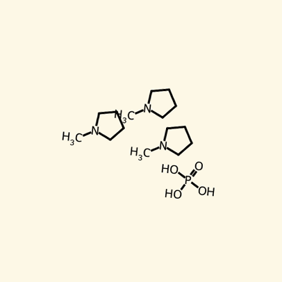 CN1CCCC1.CN1CCCC1.CN1CCCC1.O=P(O)(O)O